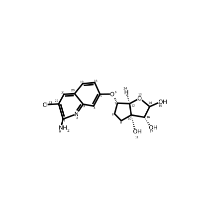 Nc1nc2cc(O[C@H]3CC[C@@]4(O)[C@@H]3OC(O)[C@@H]4O)ccc2cc1Cl